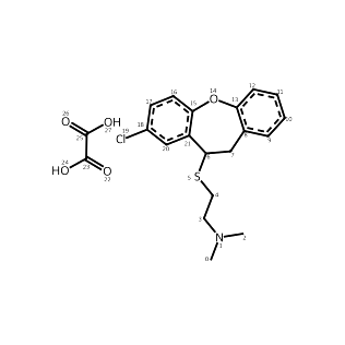 CN(C)CCSC1Cc2ccccc2Oc2ccc(Cl)cc21.O=C(O)C(=O)O